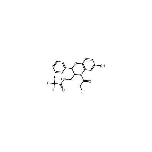 O=C(CCl)N1c2cc(O)ccc2OC(c2ccccc2)C1CNC(=O)C(F)(F)F